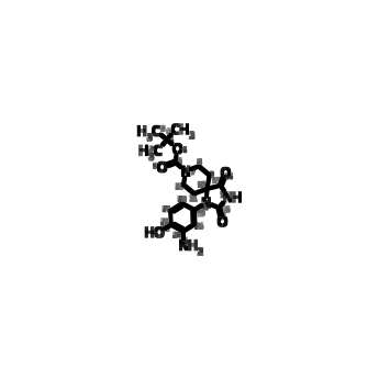 CC(C)(C)OC(=O)N1CCC2(CC1)C(=O)NC(=O)N2c1ccc(O)c(N)c1